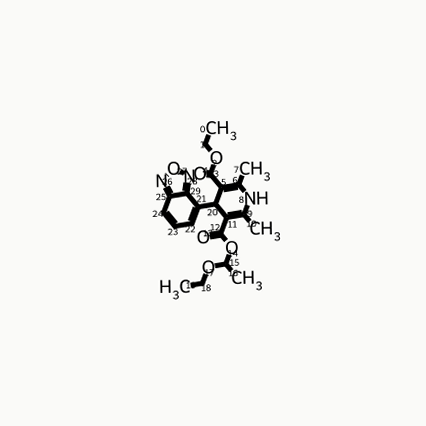 CCOC(=O)C1=C(C)NC(C)=C(C(=O)OC(C)OCC)C1c1cccc2nonc12